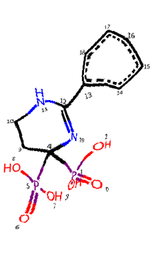 O=P(O)(O)C1(P(=O)(O)O)CCNC(c2ccccc2)=N1